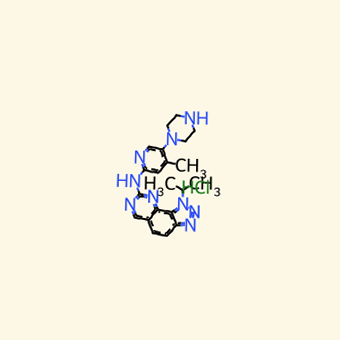 Cc1cc(Nc2ncc3ccc4nnn(C(C)C)c4c3n2)ncc1N1CCNCC1.Cl